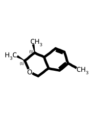 CC1=CC2CO[C@@H](C)[C@@H](C)C2C=C1